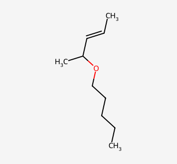 CC=CC(C)OCCCCC